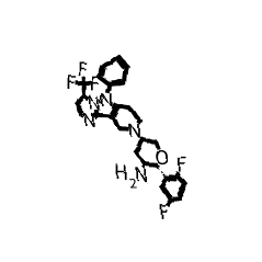 N[C@H]1C[C@@H](N2CCC3=C(C2)C2=NC=CC(C(F)(F)F)N2N3c2ccccc2)CO[C@@H]1c1cc(F)ccc1F